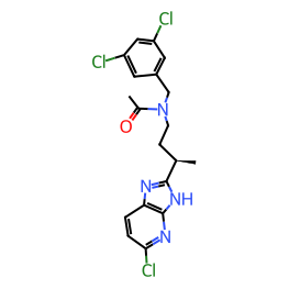 CC(=O)N(CC[C@@H](C)c1nc2ccc(Cl)nc2[nH]1)Cc1cc(Cl)cc(Cl)c1